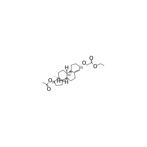 CCOC(=O)CO[C@@H]1C=C2CC[C@H]3[C@@H]4CC[C@H](OC(C)=O)[C@@]4(C)CC[C@@H]3[C@@]2(C)CC1